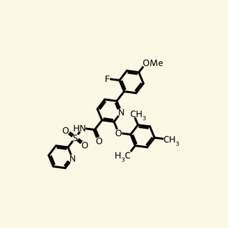 COc1ccc(-c2ccc(C(=O)NS(=O)(=O)c3ccccn3)c(Oc3c(C)cc(C)cc3C)n2)c(F)c1